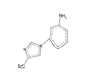 CC(=O)Oc1cn(-c2cccc(N)c2)cn1